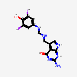 NC1=NC(=O)C2=C(CNC=Nc3cc(I)c(O)c(I)c3)C=NC2=N1